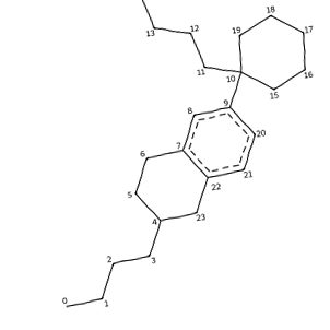 CCCCC1CCc2cc(C3(CCCC)CCCCC3)ccc2C1